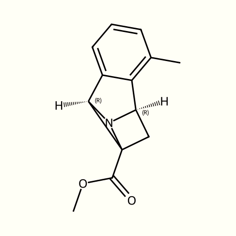 COC(=O)C12C[C@@H]3c4c(C)cccc4[C@H]1N32